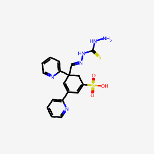 NNC(=S)NN=CC1(c2ccccn2)C=C(c2ccccn2)C=C(S(=O)(=O)O)C1